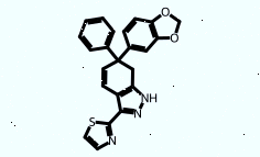 C1=CC(c2ccccc2)(c2ccc3c(c2)OCO3)Cc2[nH]nc(-c3nccs3)c21